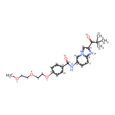 COCCOCCOc1ccc(C(=O)Nc2ccc3nc(C(=O)C(C)(C)C)cn3c2)cc1